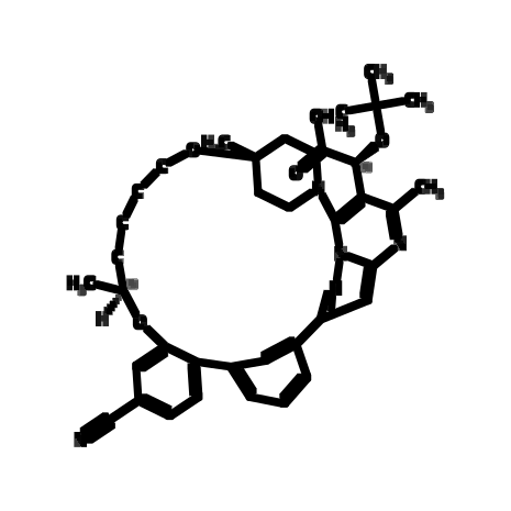 Cc1nc2cc3nn2c(c1[C@H](OC(C)(C)C)C(=O)O)N1CCC(C)(CC1)OCCCC[C@H](C)Oc1cc(C#N)ccc1-c1cccc-3c1